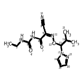 CCNC(=O)NC(=O)C(C#N)=NOC(C(C)C)n1cccn1